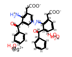 Nc1c(CC(=O)[O-])cccc1C(=O)c1ccccc1.Nc1c(CC(=O)[O-])cccc1C(=O)c1ccccc1.O.O.O.[Mg+2]